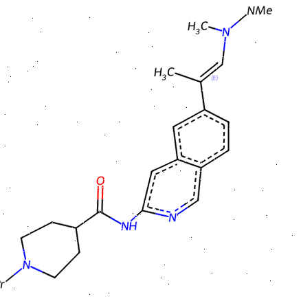 CNN(C)/C=C(\C)c1ccc2cnc(NC(=O)C3CCN(C(C)C)CC3)cc2c1